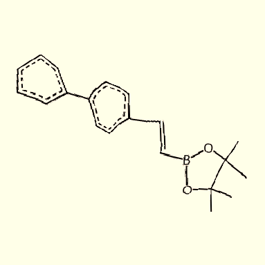 CC1(C)OB(C=Cc2ccc(-c3ccccc3)cc2)OC1(C)C